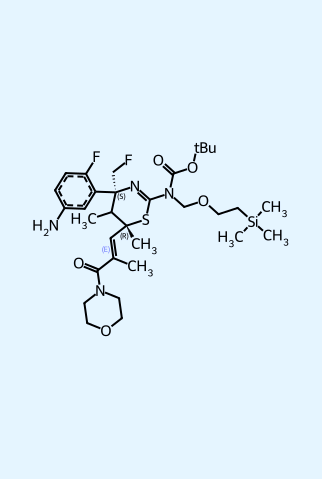 C/C(=C\[C@@]1(C)SC(N(COCC[Si](C)(C)C)C(=O)OC(C)(C)C)=N[C@](CF)(c2cc(N)ccc2F)C1C)C(=O)N1CCOCC1